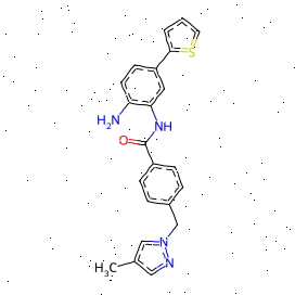 Cc1cnn(Cc2ccc(C(=O)Nc3cc(-c4cccs4)ccc3N)cc2)c1